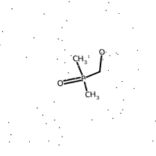 CP(C)(=O)C[O]